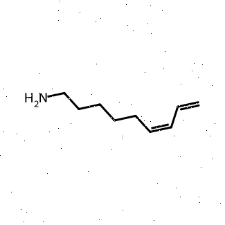 C=C/C=C\CCCCCN